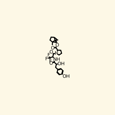 CC1(C)C2CCC1(C)C(OC(=O)C1CCCN1C(=O)C(NC(=O)C(O)Cc1ccc(O)cc1)C(F)(F)F)C2